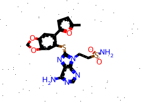 Cc1ccc(-c2cc3c(cc2Sc2nc4c(N)ncnc4n2CCS(N)(=O)=O)OCO3)o1